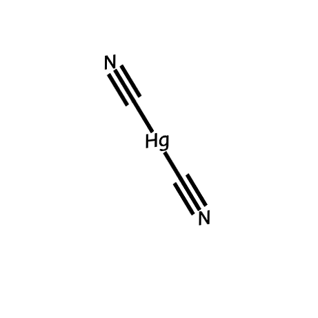 N#[C][Hg][C]#N